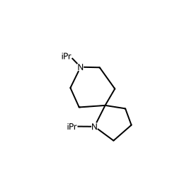 CC(C)N1CCC2(CCCN2C(C)C)CC1